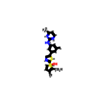 CCC1=C(C(=O)O)S(O)(c2ncc(-c3cc(C)cc(Nc4nccc(C(F)(F)F)n4)c3)s2)C=C1